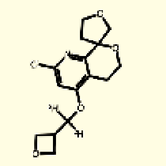 [2H]C([2H])(Oc1cc(Cl)nc2c1CCOC21CCOC1)C1COC1